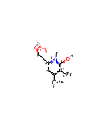 COc1cc(CO)n(C)c(=O)c1C(C)C